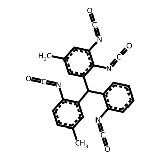 Cc1ccc(N=C=O)c(C(c2ccccc2N=C=O)c2cc(C)cc(N=C=O)c2N=C=O)c1